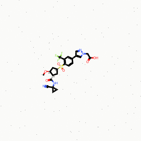 CO[C@H]1C[C@@H](S(=O)(=O)c2ccc(-c3cnn(CC(=O)O)c3)cc2C(F)(F)F)C[C@@H]1C(=O)NC1(C#N)CC1